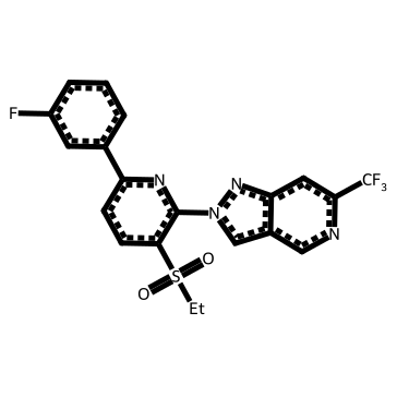 CCS(=O)(=O)c1ccc(-c2cccc(F)c2)nc1-n1cc2cnc(C(F)(F)F)cc2n1